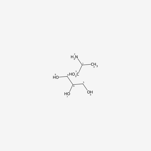 CC(N)C(=O)O.OCC(O)CO